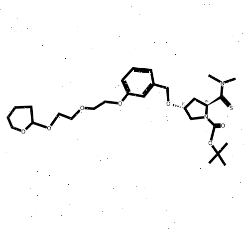 CN(C)C(=S)[C@@H]1C[C@@H](OCc2cccc(OCCOCCOC3CCCCO3)c2)CN1C(=O)OC(C)(C)C